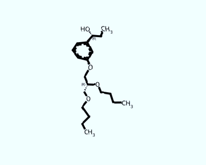 CCCCOC[C@H](COc1cccc([C@H](O)CC)c1)OCCCC